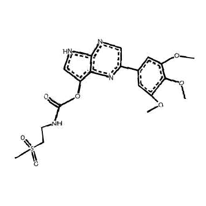 COc1cc(-c2cnc3[nH]cc(OC(=O)NCCS(C)(=O)=O)c3n2)cc(OC)c1OC